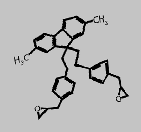 Cc1ccc2c(c1)C(CCc1ccc(CC3CO3)cc1)(CCc1ccc(CC3CO3)cc1)c1cc(C)ccc1-2